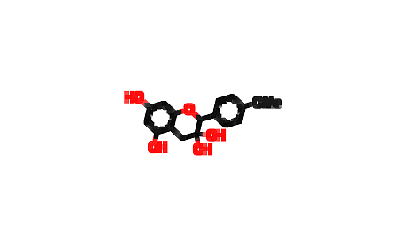 COc1ccc(C2Oc3cc(O)cc(O)c3CC2(O)O)cc1